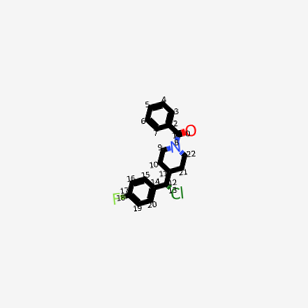 O=C(c1ccccc1)N1CCC(C(Cl)c2ccc(F)cc2)CC1